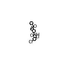 O=C(Nc1ccc2c(ccn2C(=O)c2ccccc2)c1)c1cc(Cl)ccc1Cl